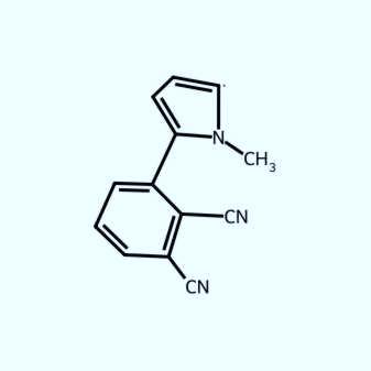 Cn1[c]ccc1-c1cccc(C#N)c1C#N